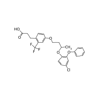 CC(CCOc1ccc(CCC(=O)O)c(C(F)(F)F)c1)Oc1ccc(Cl)cc1Oc1ccccc1